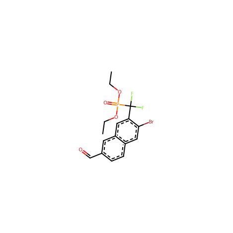 CCOP(=O)(OCC)C(F)(F)c1cc2cc(C=O)ccc2cc1Br